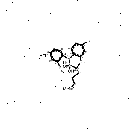 CNCCC[C@H]1Oc2cc(F)ccc2N(c2ccccc2F)S1(O)O.Cl